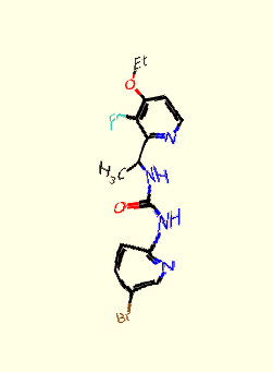 CCOc1ccnc(C(C)NC(=O)Nc2ccc(Br)cn2)c1F